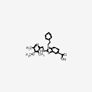 COc1c(C)cnc(CNc2nc3cc(C(=O)O)ccc3n2CCc2ccccc2)c1C